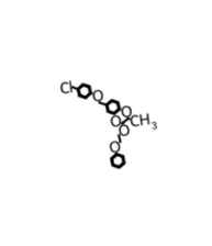 CC(Oc1ccc(COc2ccc(Cl)cc2)cc1)C(=O)OCCOc1ccccc1